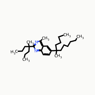 CCCCCCC(C)(CCCC)c1ccc2nc(C(C)(CCC)CCC)nc(C)c2c1